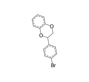 Brc1ccc(C2COc3ccccc3O2)cc1